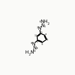 N/N=N/c1cccc(/N=N/N)c1